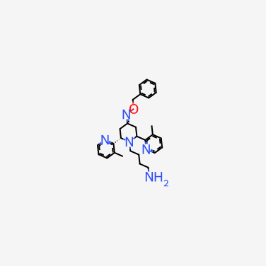 Cc1cccnc1C1CC(=NOCc2ccccc2)C[C@@H](c2ncccc2C)N1CCCCN